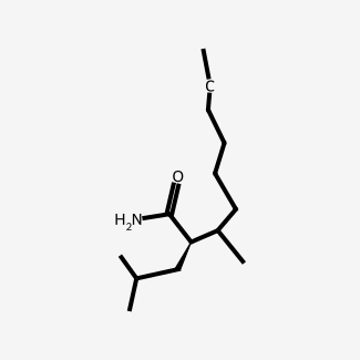 CCCCCCC(C)[C@@H](CC(C)C)C(N)=O